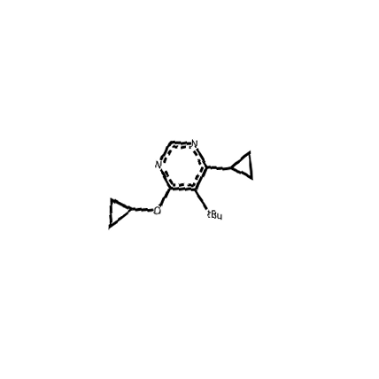 CC(C)(C)c1c(OC2CC2)ncnc1C1CC1